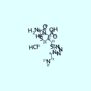 CN(C)CCn1nnnc1SCC1=C(C(=O)O)N2C(=O)[C@@H](N)[C@@H]2SC1.Cl